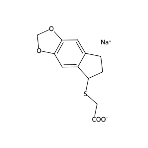 O=C([O-])CSC1CCc2cc3c(cc21)OCO3.[Na+]